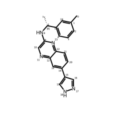 Cc1cccc([C@@H](C)Nc2cnc3cc(-c4cn[nH]c4)ccc3n2)c1